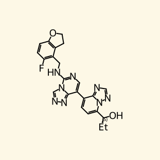 CC[C@H](O)c1ccc(-c2cnc(NCc3c(F)ccc4c3CCO4)n3cnnc23)c2ncnn12